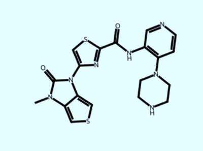 Cn1c(=O)n(-c2csc(C(=O)Nc3cnccc3N3CCNCC3)n2)c2cscc21